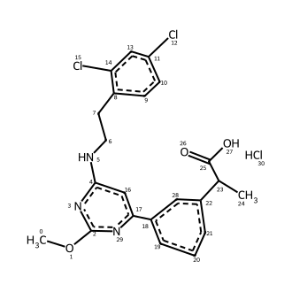 COc1nc(NCCc2ccc(Cl)cc2Cl)cc(-c2cccc(C(C)C(=O)O)c2)n1.Cl